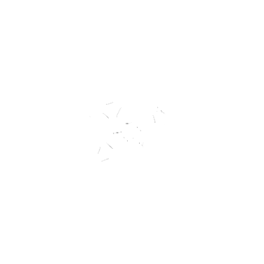 CN1CC(c2cnc(Cl)s2)n2c(O)c(-c3cccc(C(F)(F)F)c3)c(=O)[n+](Cc3ccccc3)c21